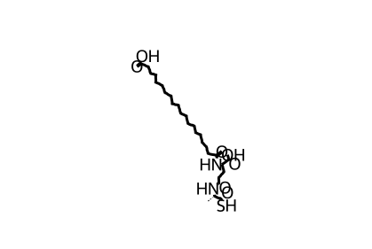 C[C@H](NC(=O)CCC(NC(=O)CCCCCCCCCCCCCCCCCCC(=O)O)C(=O)O)C(=O)S